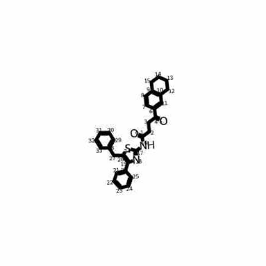 O=C(CCC(=O)c1ccc2c(c1)CCCC2)Nc1nc(-c2ccccc2)c(Cc2ccccc2)s1